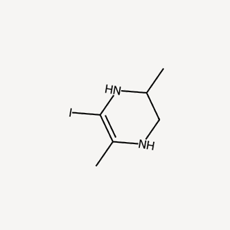 CC1=C(I)NC(C)CN1